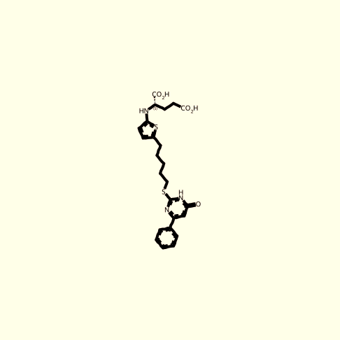 O=C(O)CC[C@H](Nc1ccc(CCCCCSc2nc(-c3ccccc3)cc(=O)[nH]2)s1)C(=O)O